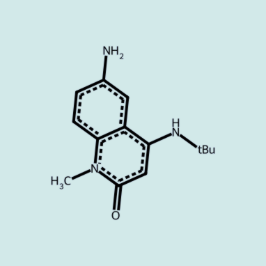 Cn1c(=O)cc(NC(C)(C)C)c2cc(N)ccc21